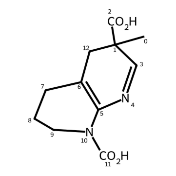 CC1(C(=O)O)C=NC2=C(CCCN2C(=O)O)C1